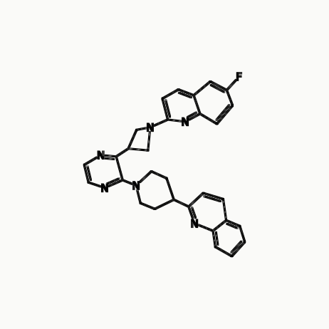 Fc1ccc2nc(N3CC(c4nccnc4N4CCC(c5ccc6ccccc6n5)CC4)C3)ccc2c1